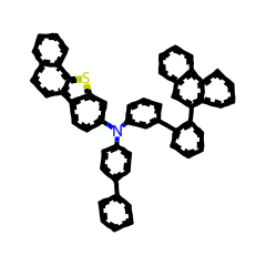 c1ccc(-c2ccc(N(c3cccc(-c4ccccc4-c4cc5ccccc5c5ccccc45)c3)c3ccc4c(c3)sc3c5ccccc5ccc43)cc2)cc1